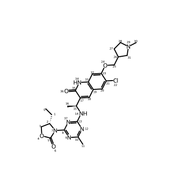 CC[C@H]1COC(=O)N1c1nc(C)nc(N[C@@H](C)c2cc3cc(Cl)c(OCC4CCN(C)C4)cc3[nH]c2=O)n1